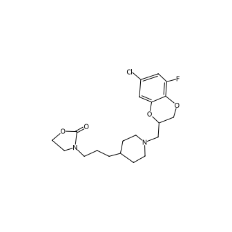 O=C1OCCN1CCCC1CCN(CC2COc3c(F)cc(Cl)cc3O2)CC1